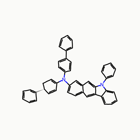 C1=C[C@H](c2ccccc2)CC=C1N(c1ccc(-c2ccccc2)cc1)c1ccc2cc3c4ccccc4n(-c4ccccc4)c3cc2c1